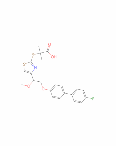 COC(COc1ccc(-c2ccc(F)cc2)cc1)c1csc(SC(C)(C)C(=O)O)n1